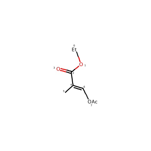 CCOC(=O)C(C)=COC(C)=O